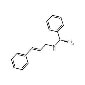 C[C@@H](NC/C=C/c1ccccc1)c1ccccc1